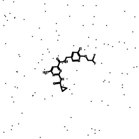 Cc1cc(C(=O)NCc2cnc(OCC(F)F)c(Cl)c2)nc(NC(=O)C2CC2)n1